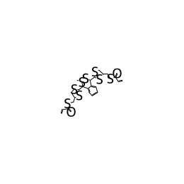 C=CC(=O)SCC1CSC(C(SC)c2ccccc2C(SC)C2SCC(CSC(=O)C=C)S2)S1